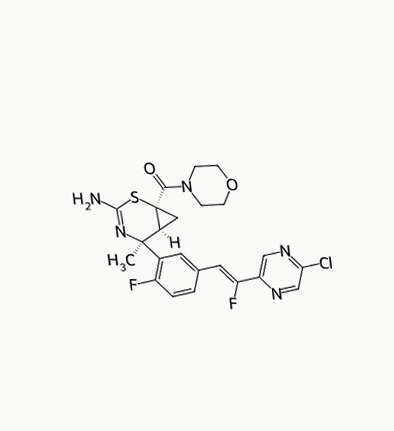 C[C@]1(c2cc(/C=C(\F)c3cnc(Cl)cn3)ccc2F)N=C(N)S[C@@]2(C(=O)N3CCOCC3)C[C@H]21